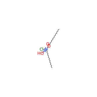 CCCCCCCCCCCCCCCC(=O)OCCN1CC(Cl)N(CCO)C1CCCCCCCCCCCCCCC